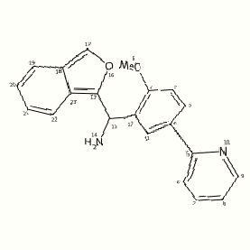 COc1ccc(-c2ccccn2)cc1C(N)c1occ2ccccc12